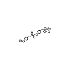 CCOc1ccc(CCNC(=O)COc2ccc(C[C@H](C=O)OC)cc2)cc1